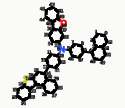 c1ccc2c(-c3ccc(N(c4ccc(-c5cc6sc7ccccc7c6c6ccccc56)cc4)c4ccc5c(c4)oc4ccccc45)cc3)cccc2c1